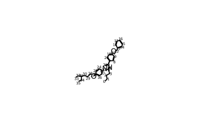 CCCCc1nc(-c2ccc(OCc3ccccc3)cc2)cn1-c1ccc(OCCCC(CC)CC)cc1